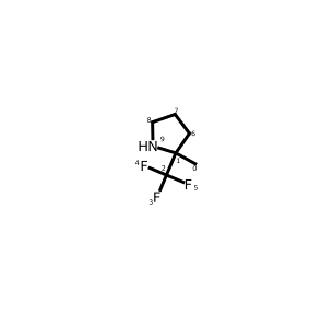 CC1(C(F)(F)F)CCCN1